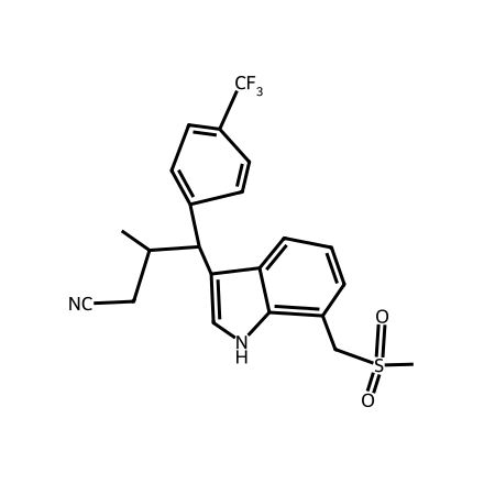 CC(CC#N)C(c1ccc(C(F)(F)F)cc1)c1c[nH]c2c(CS(C)(=O)=O)cccc12